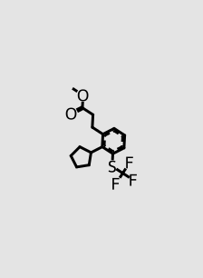 COC(=O)CCc1cccc(SC(F)(F)F)c1C1CCCC1